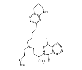 CC(C)(C)OCCN(CCCCc1ccc2c(n1)NCCC2)CCC(NC(=O)c1ccccc1C(F)F)C(=O)O